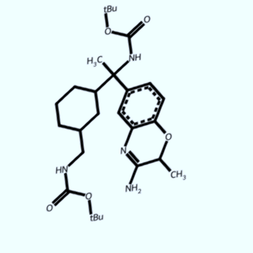 CC1Oc2ccc(C(C)(NC(=O)OC(C)(C)C)C3CCCC(CNC(=O)OC(C)(C)C)C3)cc2N=C1N